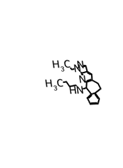 CCCCNC1c2ccccc2CCc2cc3cnn(CC)c3nc21